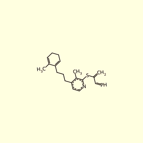 C=C(C=P)Sc1nccc(CCCC2=CCCC=C2C)c1C